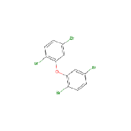 Brc1ccc(Br)c(Oc2cc(Br)ccc2Br)c1